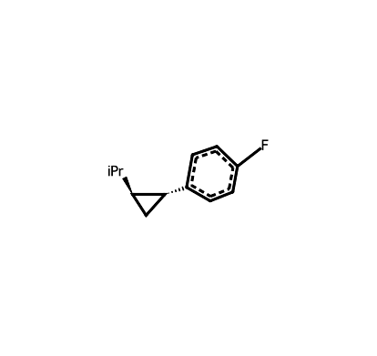 CC(C)[C@@H]1C[C@H]1c1ccc(F)cc1